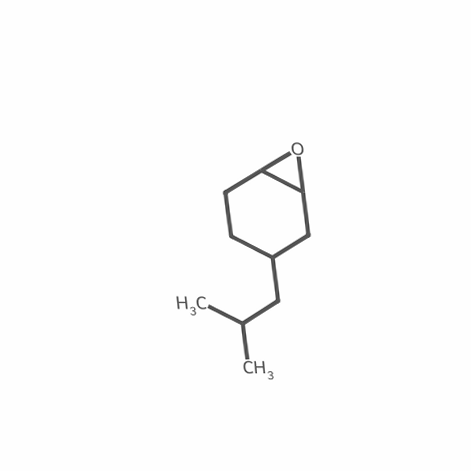 CC(C)CC1CCC2OC2C1